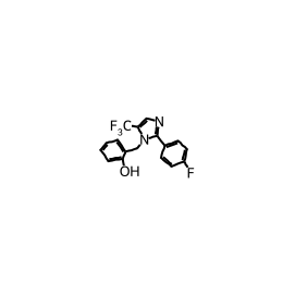 Oc1ccccc1Cn1c(C(F)(F)F)cnc1-c1ccc(F)cc1